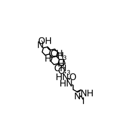 C[C@]12CC[C@H]3[C@@H](CCC4=CC(=NO)CC[C@@]43C)[C@@H]1CC[C@@H]2OCNC(=O)NCCc1c[nH]c(I)n1